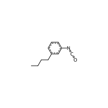 CCCCc1cccc(N=C=O)c1